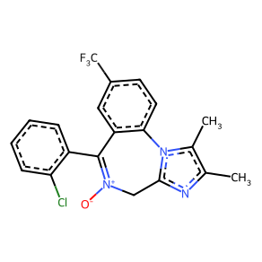 Cc1nc2n(c1C)-c1ccc(C(F)(F)F)cc1C(c1ccccc1Cl)=[N+]([O-])C2